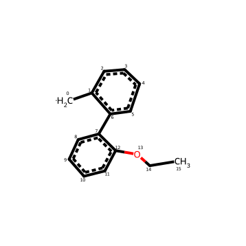 [CH2]c1ccccc1-c1ccccc1OCC